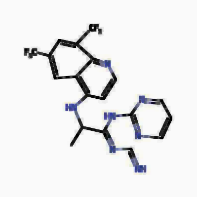 CC(Nc1ccnc2c(C(F)(F)F)cc(C(F)(F)F)cc12)/C(=N/C=N)Nc1ncccn1